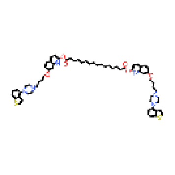 O=C(CCCCCCCCCCCCCCC(=O)Oc1ccc2ccc(OCCCCN3CCN(c4cccc5sccc45)CC3)cc2n1)Oc1ccc2ccc(OCCCCN3CCN(c4cccc5sccc45)CC3)cc2n1